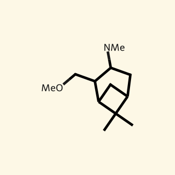 CNC1CC2CC(C1COC)C2(C)C